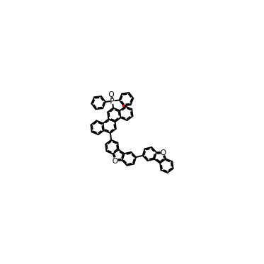 O=P(c1ccccc1)(c1ccccc1)c1cc2c3ccccc3c(-c3ccc4oc5ccc(-c6ccc7oc8ccccc8c7c6)cc5c4c3)cc2c2ccccc12